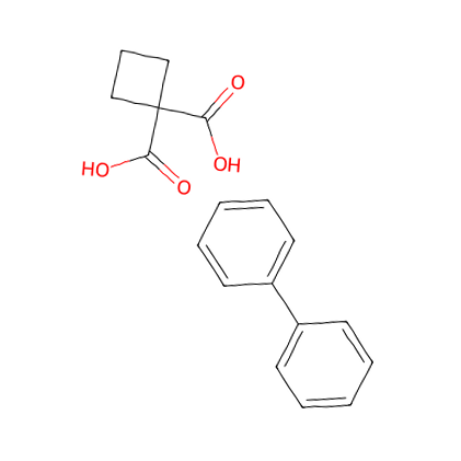 O=C(O)C1(C(=O)O)CCC1.c1ccc(-c2ccccc2)cc1